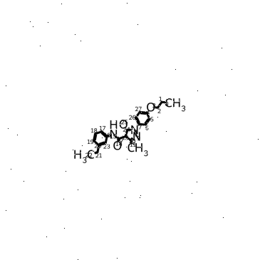 CCCOc1ccc(N2N=C(C)C(C(=O)Nc3cccc(CC)c3)C2=O)cc1